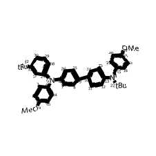 COc1ccc(N(c2ccc(-c3ccc(N(c4ccc(OC)cc4)C(C)(C)C)cc3)cc2)c2cccc(C(C)(C)C)c2)cc1